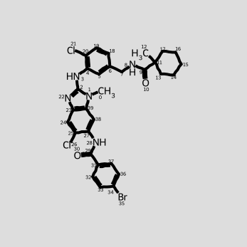 Cn1c(Nc2cc(CNC(=O)C3(C)CCCCC3)ccc2Cl)nc2cc(Cl)c(NC(=O)c3ccc(Br)cc3)cc21